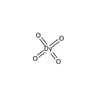 [O]=[Dy](=[O])(=[O])=[O]